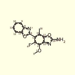 COc1c(F)c(-c2nc3ccccc3o2)c(C)c2oc(N)nc12